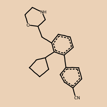 N#Cc1ccc(-c2cccc(CC3CNCCO3)c2C2CCCC2)cc1